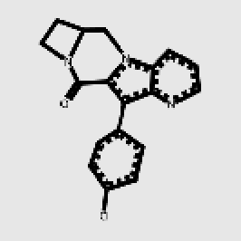 O=C1c2c(-c3ccc(Cl)cc3)c3ncccc3n2CC2CCN12